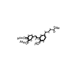 COC(=O)CCCc1ccc(O)c(C=Cc2ccc(OC)c(OC)c2)c1